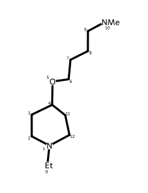 CCN1CCC(OCCCCNC)CC1